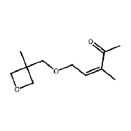 CC(=O)C(C)=CCOCC1(C)COC1